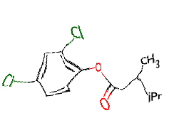 CC(C)C(C)C(=O)Oc1ccc(Cl)cc1Cl